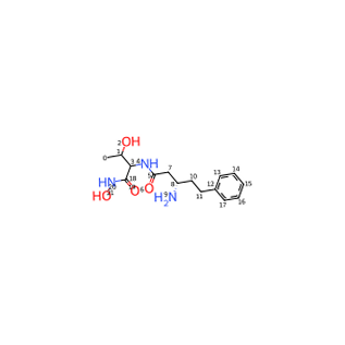 CC(O)C(NC(=O)C[C@@H](N)CCc1ccccc1)C(=O)NO